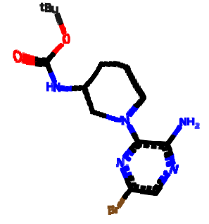 CC(C)(C)OC(=O)NC1CCCN(c2nc(Br)cnc2N)C1